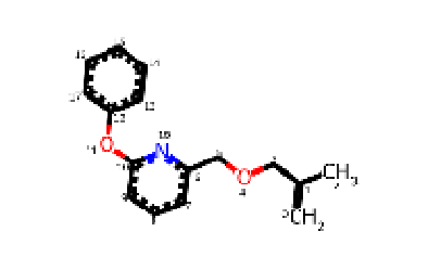 C=C(C)COCc1cccc(Oc2ccccc2)n1